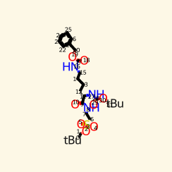 CC(C)(C)COS(=O)(=O)CCNC(=O)[C@H](CCCCNC(=O)OCc1ccccc1)NC(=O)OC(C)(C)C